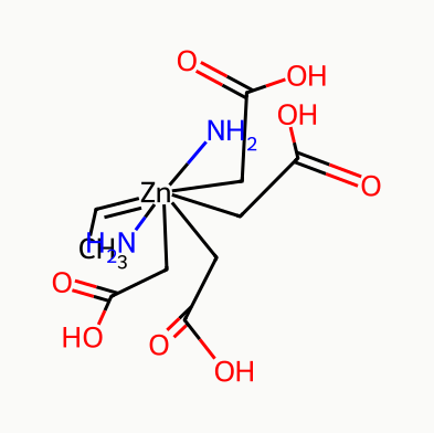 C[CH]=[Zn]([NH2])([NH2])([CH2]C(=O)O)([CH2]C(=O)O)([CH2]C(=O)O)[CH2]C(=O)O